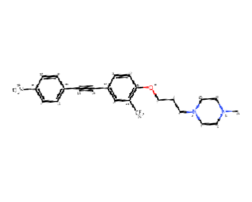 CN1CCN(CCCOc2ccc(C#Cc3ccc([N+](=O)[O-])cc3)cc2C(F)(F)F)CC1